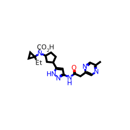 CCC1(N(C(=O)O)C2CCC(c3cc(NC(=O)Cc4cnc(C)cn4)n[nH]3)C2)CC1